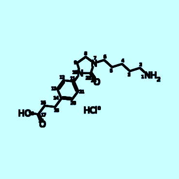 Cl.NCCCCCN1CCN(c2ccc(CCC(=O)O)cc2)C1=O